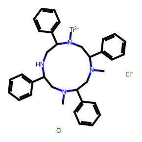 CN1CC(c2ccccc2)NCC(c2ccccc2)[N]([Ti+2])CC(c2ccccc2)N(C)CC1c1ccccc1.[Cl-].[Cl-]